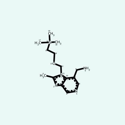 Cc1nc2cncc(CN)c2n1COCC[Si](C)(C)C